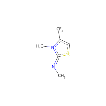 C/N=c1\scc(C(F)(F)F)n1C